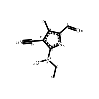 CC[S+]([O-])c1sc(C=O)c(C)c1C#N